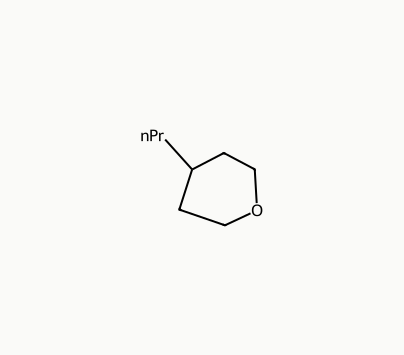 C[CH]CC1CCOCC1